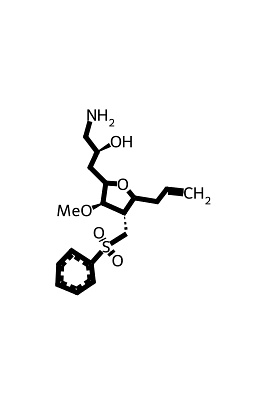 C=CCC1OC(C[C@H](O)CN)[C@H](OC)[C@H]1CS(=O)(=O)c1ccccc1